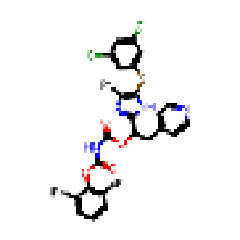 CC(C)c1cccc(C(C)C)c1OC(=O)NC(=O)OC(Cc1ccncc1)c1nc(C(C)C)c(Sc2cc(Cl)cc(Cl)c2)[nH]1